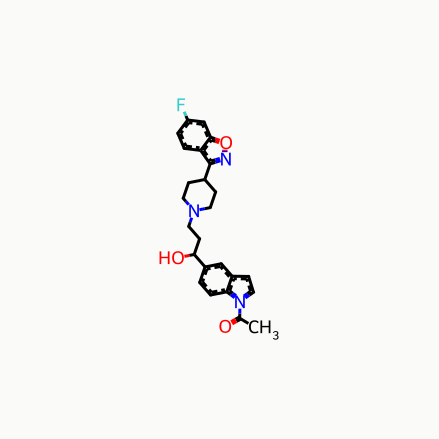 CC(=O)n1ccc2cc(C(O)CCN3CCC(c4noc5cc(F)ccc45)CC3)ccc21